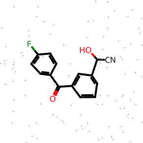 N#CC(O)c1cccc(C(=O)c2ccc(F)cc2)c1